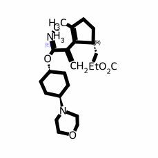 C=C(C1=C(C)CC[C@@H]1CC(=O)OCC)/C(=N\C)O[C@H]1CC[C@H](N2CCOCC2)CC1